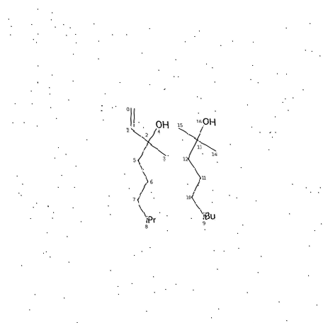 C=CC(C)(O)CCCC(C)C.CCC(C)CCCC(C)(C)O